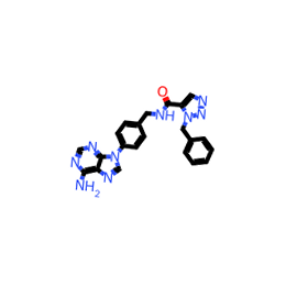 Nc1ncnc2c1ncn2-c1ccc(CNC(=O)c2cnnn2Cc2ccccc2)cc1